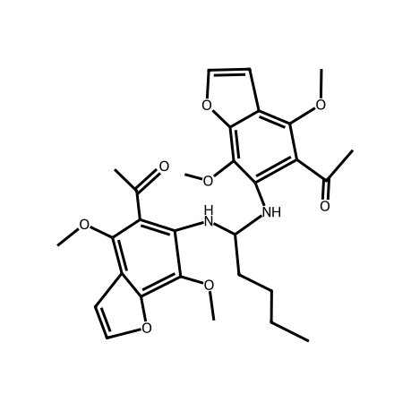 CCCCC(Nc1c(C(C)=O)c(OC)c2ccoc2c1OC)Nc1c(C(C)=O)c(OC)c2ccoc2c1OC